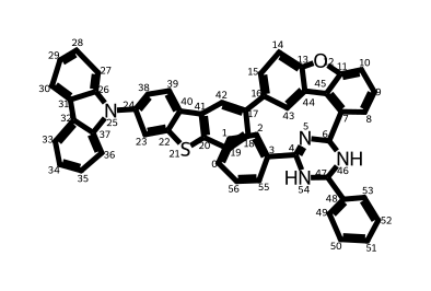 c1ccc(C2=NC(c3cccc4oc5ccc(-c6ccc7sc8cc(-n9c%10ccccc%10c%10ccccc%109)ccc8c7c6)cc5c34)NC(c3ccccc3)N2)cc1